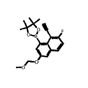 [C]#Cc1c(F)ccc2cc(OCOC)cc(B3OC(C)(C)C(C)(C)O3)c12